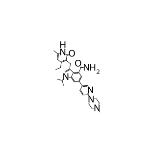 CCc1cc(C)[nH]c(=O)c1Cc1cn(C(C)C)c2cc(-c3ccc(N4CCN(C)CC4)nc3)cc(C(N)=O)c12